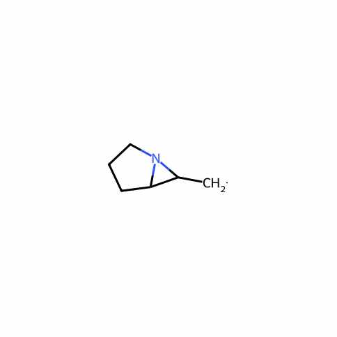 [CH2]C1C2CCCN12